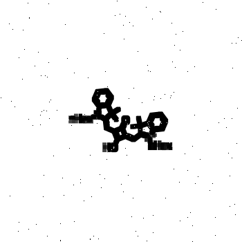 CCCCCCN1/C(=C/C2=C(O)C(=C/C3=[N+](CCCCCC)c4ccccc4C3(C)C)/C2=O)C(C)(C)c2ccccc21